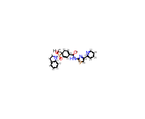 CC1(S(=O)(=O)N2CCc3ccccc32)C=CC(C(=O)Nc2nc(-c3ccccn3)cs2)=CC1